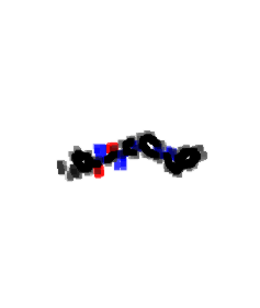 O=C(CNC(=O)c1cccc(C(F)(F)F)c1)NC1CCN([C@@H]2CCCN(c3ccc4ccccc4n3)CC2)C1